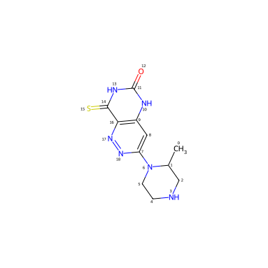 CC1CNCCN1c1cc2[nH]c(=O)[nH]c(=S)c2nn1